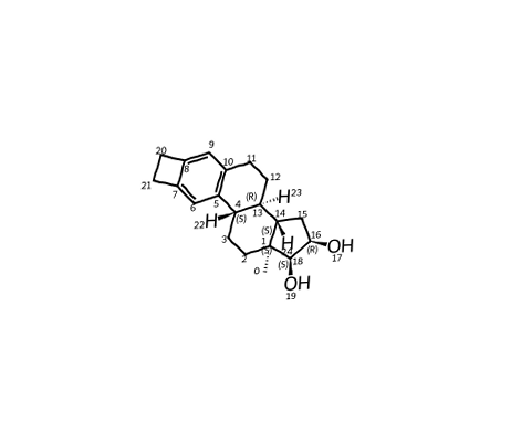 C[C@]12CC[C@@H]3c4cc5c(cc4CC[C@H]3[C@@H]1C[C@@H](O)[C@H]2O)CC5